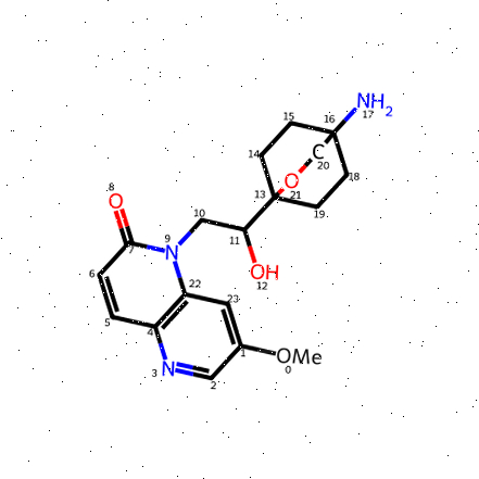 COc1cnc2ccc(=O)n(CC(O)C34CCC(N)(CC3)CO4)c2c1